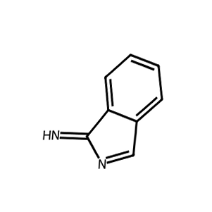 N=C1N=Cc2ccccc21